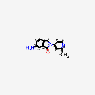 Cc1cc(N2Cc3ccc(N)cc3C2=O)ccn1